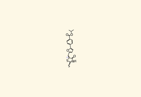 CC(C)OC(=O)c1ccc(-c2ccc(/C=C3/SC(=S)NC3=O)o2)cc1